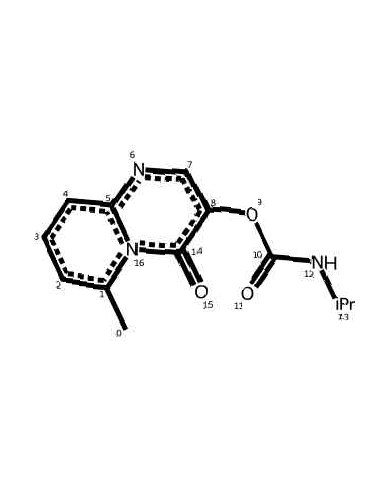 Cc1cccc2ncc(OC(=O)NC(C)C)c(=O)n12